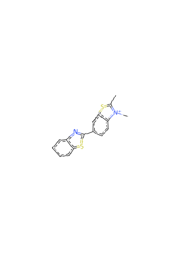 Cc1sc2cc(-c3nc4ccccc4s3)ccc2[n+]1C